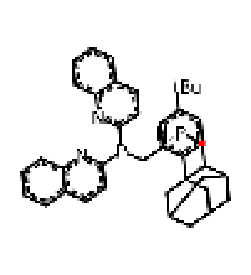 CC(C)(C)c1ccc(C23CC4CC(CC(C4)C2CP)C3)c(CP(c2ccc3ccccc3n2)c2ccc3ccccc3n2)c1